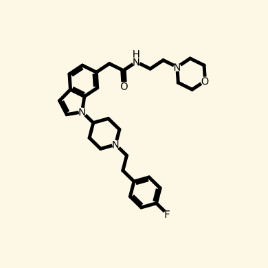 O=C(Cc1ccc2ccn(C3CCN(CCc4ccc(F)cc4)CC3)c2c1)NCCN1CCOCC1